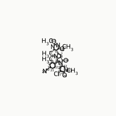 COc1ncc(-c2cc3c(n2C(C)C)[C@H](c2ccc(C#N)cc2)N(c2cc(Cl)c(=O)n(C)c2)C3=O)c(OC)n1